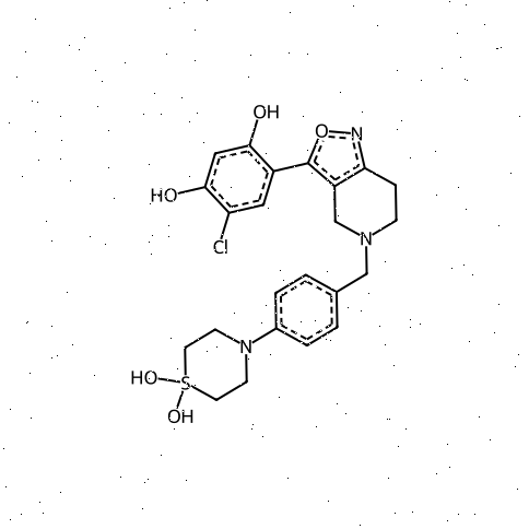 Oc1cc(O)c(-c2onc3c2CN(Cc2ccc(N4CCS(O)(O)CC4)cc2)CC3)cc1Cl